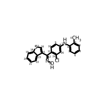 Cc1ccccc1Nc1ccc(C(=NO)c2csc3ccccc23)c(Cl)c1